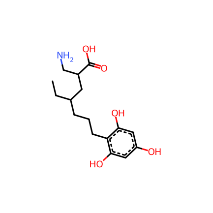 CCC(CCCc1c(O)cc(O)cc1O)CC(CN)C(=O)O